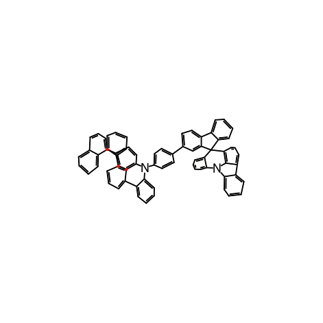 c1ccc(-c2cccc(-c3ccccc3N(c3ccc(-c4ccc5c(c4)C4(c6ccccc6-5)c5ccccc5-n5c6ccccc6c6cccc4c65)cc3)c3ccc(-c4cccc5ccccc45)cc3)c2)cc1